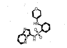 O=S(=O)(Nc1cnc2cccnn12)c1ccccc1NC1=CCOC=C1